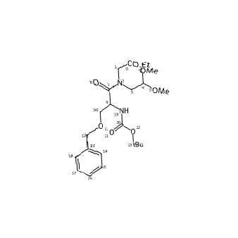 CCOC(=O)CN(CC(OC)OC)C(=O)C(COCc1ccccc1)NC(=O)OC(C)(C)C